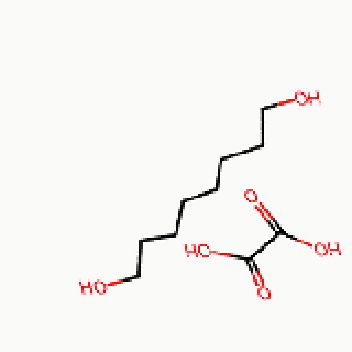 O=C(O)C(=O)O.OCCCCCCCCO